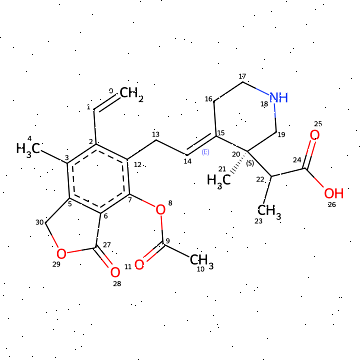 C=Cc1c(C)c2c(c(OC(C)=O)c1C/C=C1\CCNC[C@@]1(C)C(C)C(=O)O)C(=O)OC2